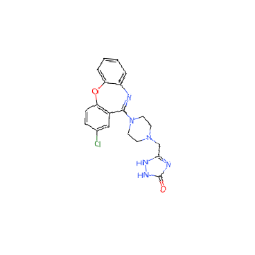 O=c1nc(CN2CCN(C3=Nc4ccccc4Oc4ccc(Cl)cc43)CC2)[nH][nH]1